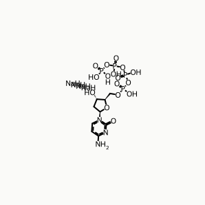 Nc1ccn([C@H]2C[C@H](O)[C@@H](COP(=O)(O)OP(=O)(O)OP(=O)(O)OP(=O)(O)O)O2)c(=O)n1.[NaH].[NaH].[NaH].[NaH]